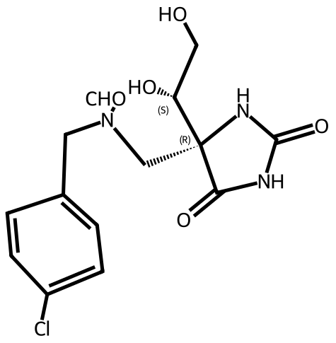 O=CN(Cc1ccc(Cl)cc1)C[C@]1([C@H](O)CO)NC(=O)NC1=O